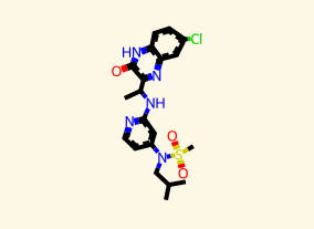 CC(C)CN(c1ccnc(NC(C)c2nc3cc(Cl)ccc3[nH]c2=O)c1)S(C)(=O)=O